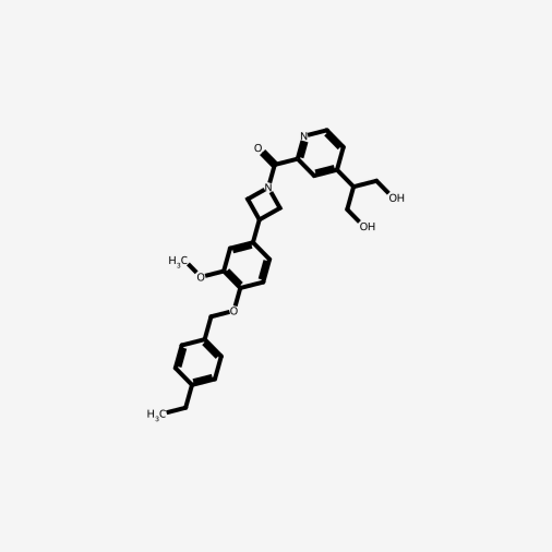 CCc1ccc(COc2ccc(C3CN(C(=O)c4cc(C(CO)CO)ccn4)C3)cc2OC)cc1